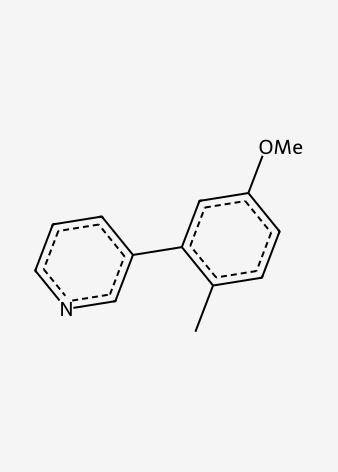 COc1ccc(C)c(-c2cccnc2)c1